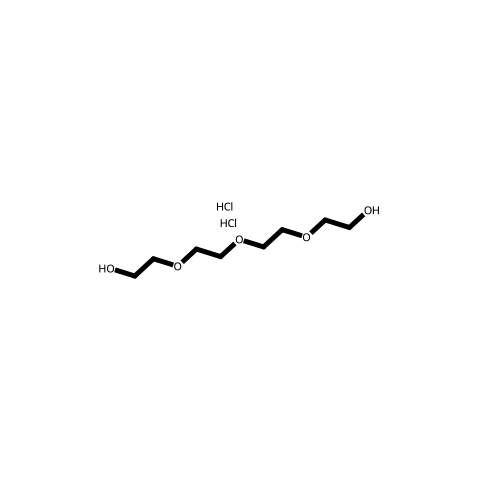 Cl.Cl.OCCOCCOCCOCCO